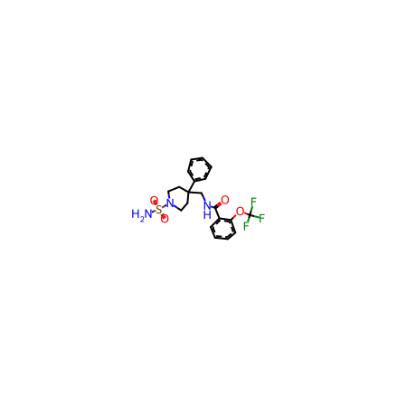 NS(=O)(=O)N1CCC(CNC(=O)c2ccccc2OC(F)(F)F)(c2ccccc2)CC1